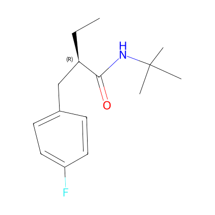 CC[C@H](Cc1ccc(F)cc1)C(=O)NC(C)(C)C